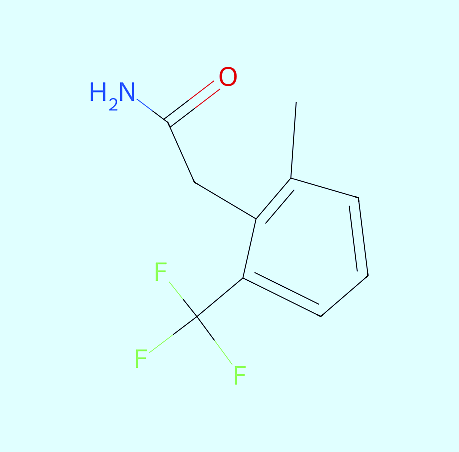 Cc1cccc(C(F)(F)F)c1CC(N)=O